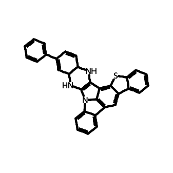 C1=CC2Nc3c(n4c5ccccc5c5cc6c7ccccc7sc6c3c54)NC2C=C1c1ccccc1